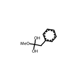 COC(O)(O)Cc1ccccc1